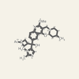 COc1nc2ccc(C(O)(c3cnc(C)n3C)C3CN(C(C)=O)C3)cc2c(Cl)c1CN1CCC(C)CC1